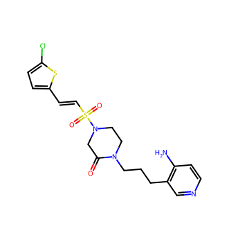 Nc1ccncc1CCCN1CCN(S(=O)(=O)C=Cc2ccc(Cl)s2)CC1=O